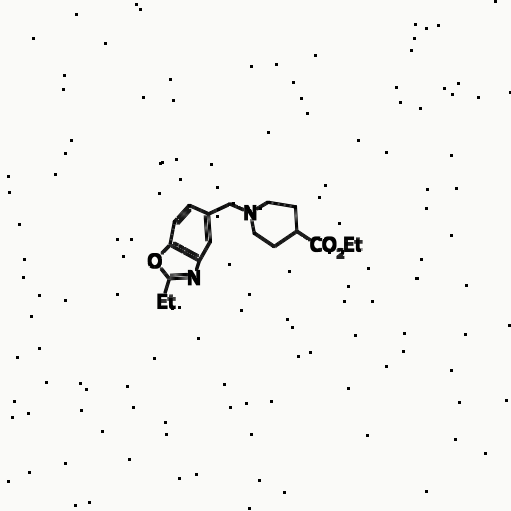 CCOC(=O)C1CCN(Cc2ccc3oc(CC)nc3c2)CC1